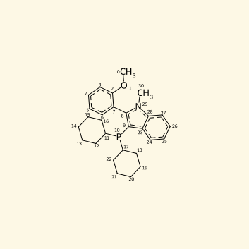 COc1ccccc1-c1c(P(C2CCCCC2)C2CCCCC2)c2ccccc2n1C